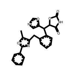 Cc1oc(-c2ccccc2)nc1Cc1ccccc1C(c1cnco1)C1OC(=O)NC1=O